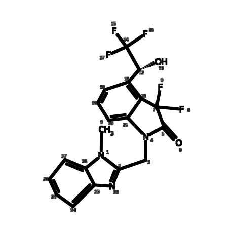 Cn1c(CN2C(=O)C(F)(F)c3c([C@@H](O)C(F)(F)F)cccc32)nc2ccccc21